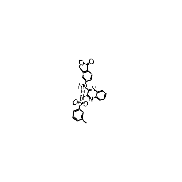 Cc1cccc(S(=O)(=O)Nc2nc3ccccc3nc2Nc2ccc3c(c2)COC3=O)c1